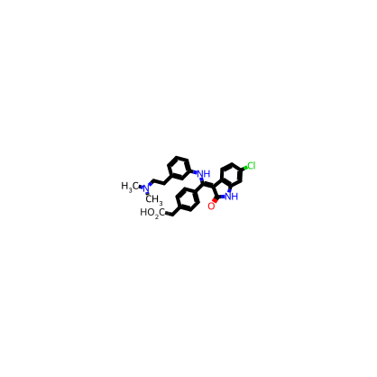 CN(C)CCc1cccc(NC(=C2C(=O)Nc3cc(Cl)ccc32)c2ccc(CC(=O)O)cc2)c1